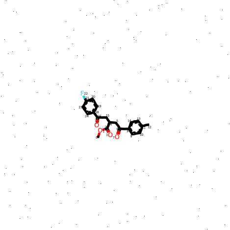 COC(=O)C(CC(=O)c1ccc(C)cc1)CC(=O)c1ccc(F)cc1